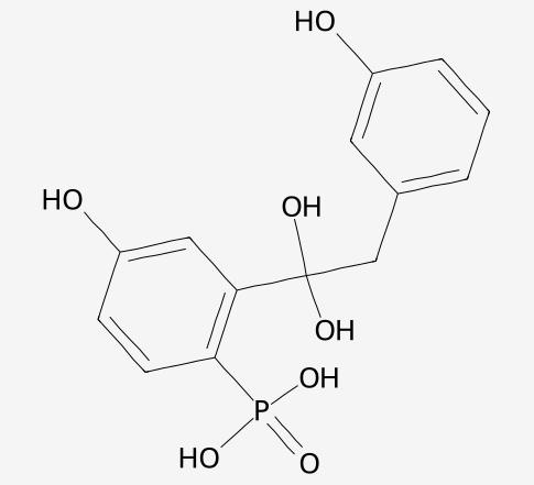 O=P(O)(O)c1ccc(O)cc1C(O)(O)Cc1cccc(O)c1